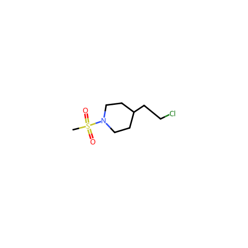 CS(=O)(=O)N1CCC(CCCl)CC1